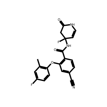 Cc1cc(F)ccc1Oc1cc(C#N)ccc1C(=O)NC1(F)C=CNC(=O)C1